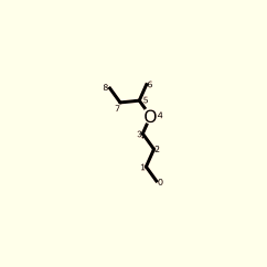 CCC[CH]OC(C)CC